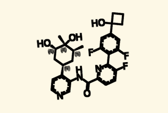 C[C@H]1C[C@@H](c2ccncc2NC(=O)c2ccc(F)c(-c3c(F)cc(C4(O)CCC4)cc3F)n2)C[C@@H](O)[C@]1(C)O